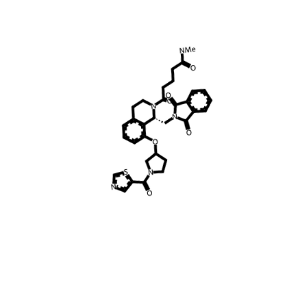 CNC(=O)CCCC(=O)N1CCc2cccc(OC3CCN(C(=O)c4cncs4)C3)c2[C@H]1CN1C(=O)c2ccccc2C1=O